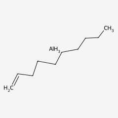 C=CCCCCCCCC.[AlH3]